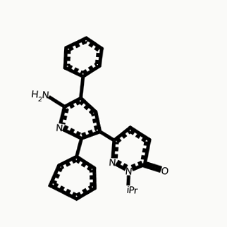 CC(C)n1nc(-c2cc(-c3ccccc3)c(N)nc2-c2ccccc2)ccc1=O